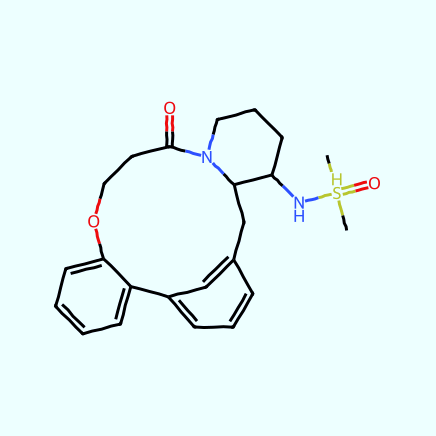 C[SH](C)(=O)NC1CCCN2C(=O)CCOc3ccccc3-c3cccc(c3)CC12